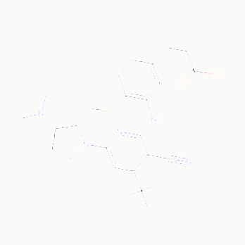 CSc1ccc(C[C@H](C)C(=O)O)cc1Nc1nc(N2CC[C@H](N(C)C)C2)cc(C(C)(F)F)c1C#N